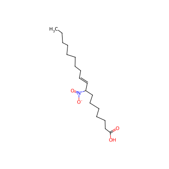 CCCCCCCCC=CC(CCCCCCC(=O)O)[N+](=O)[O-]